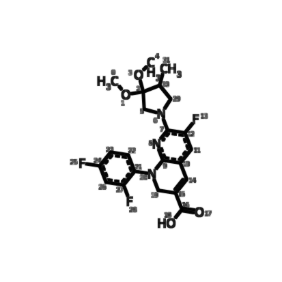 COC1(OC)CN(c2nc3c(cc2F)C=C(C(=O)O)CN3c2ccc(F)cc2F)CC1C